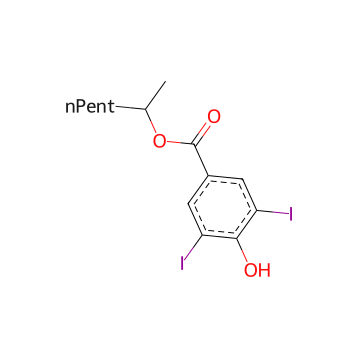 CCCCCC(C)OC(=O)c1cc(I)c(O)c(I)c1